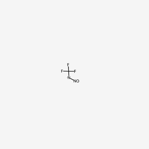 O=N[N]C(F)(F)F